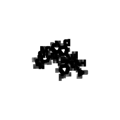 BC(Nc1cc(Cl)c2ncc(C#N)c(NCCc3nccn3C)c2c1)(C1=CN(C2CC2)NN1)c1ccc(F)cc1